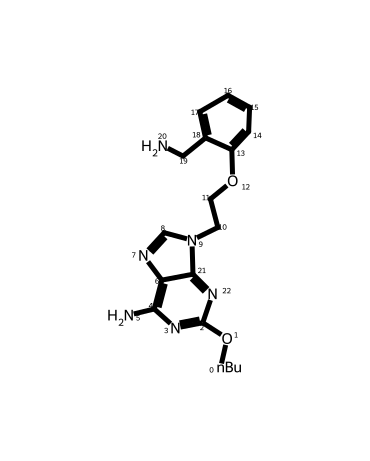 CCCCOc1nc(N)c2ncn(CCOc3ccccc3CN)c2n1